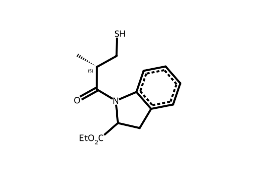 CCOC(=O)C1Cc2ccccc2N1C(=O)[C@H](C)CS